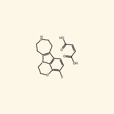 Fc1ccc2c3c(n4c2c1OCC4)CCNCC3.O=C(O)/C=C\C(=O)O